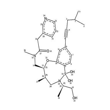 CC(C)CC#Cc1ccc2c(c1)O[C@H](CN(C)C(=O)Cc1cccnc1)[C@H](C)CN([C@H](C)CO)S2(O)O